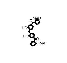 COc1ccccc1C(=O)c1ccc(Cc2ccc(C(=O)c3ccccc3OC)cc2O)c(O)c1